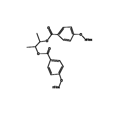 CCCCCCOc1ccc(C(=O)OC(C)C(C)OC(=O)c2ccc(OCCCCCC)cc2)cc1